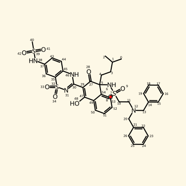 CC(C)CCC1(NS(=O)(=O)CCN(Cc2ccccc2)Cc2ccccc2)C(=O)C(C2=NS(=O)(=O)c3cc(NS(C)(=O)=O)ccc3N2)=C(O)c2ccccc21